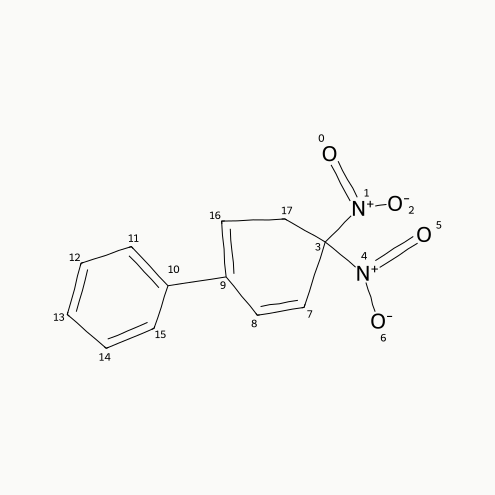 O=[N+]([O-])C1([N+](=O)[O-])C=CC(c2ccccc2)=CC1